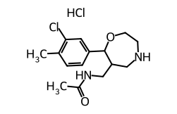 CC(=O)NCC1CNCCOC1c1ccc(C)c(Cl)c1.Cl